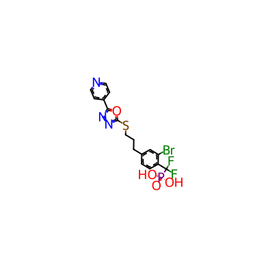 O=P(O)(O)C(F)(F)c1ccc(CCCSc2nnc(-c3ccncc3)o2)cc1Br